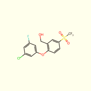 O=S(=O)(c1ccc(Oc2cc(F)cc(Cl)c2)c(CO)c1)C(F)(F)F